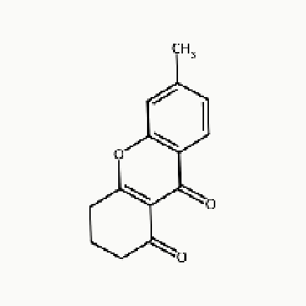 Cc1ccc2c(=O)c3c(oc2c1)CCCC3=O